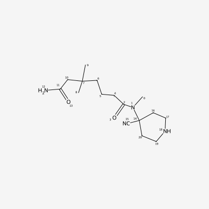 CN(C(=O)[CH]CCC(C)(C)CC(N)=O)C1(C#N)CCNCC1